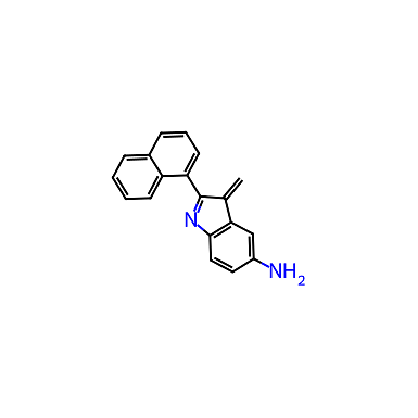 C=C1C(c2cccc3ccccc23)=Nc2ccc(N)cc21